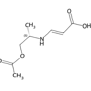 CC(=O)OC[C@H](C)NC=CC(=O)O